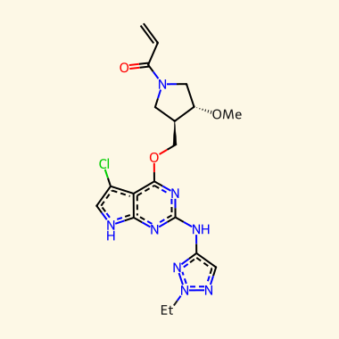 C=CC(=O)N1C[C@H](COc2nc(Nc3cnn(CC)n3)nc3[nH]cc(Cl)c23)[C@@H](OC)C1